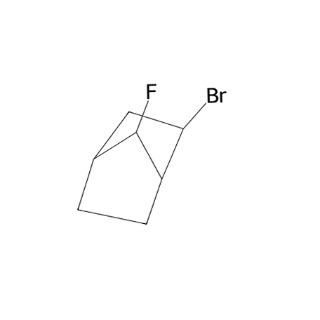 FC1C2CCC1C(Br)C2